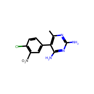 Cc1nc(N)nc(N)c1-c1ccc(Cl)c([N+](=O)[O-])c1